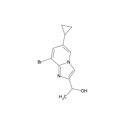 CC(O)c1cn2cc(C3CC3)cc(Br)c2n1